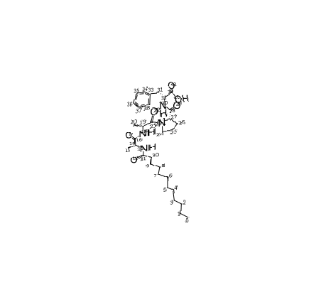 CCCCCCCCCCCC(=O)N[C@@H](C)C(=O)N[C@@H](C)C(=O)N1CCC[C@H]1C(=O)N[C@H](Cc1ccccc1)C(=O)O